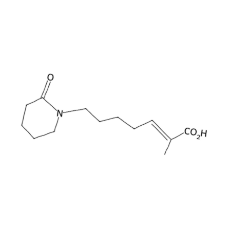 CC(=CCCCCN1CCCCC1=O)C(=O)O